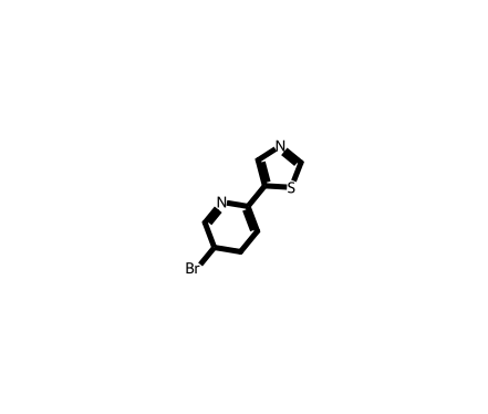 BrC1C=NC(c2cncs2)=CC1